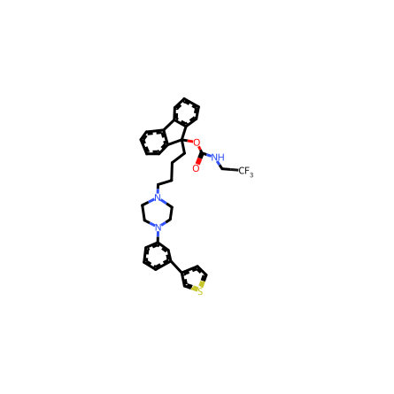 O=C(NCC(F)(F)F)OC1(CCCCN2CCN(c3cccc(-c4ccsc4)c3)CC2)c2ccccc2-c2ccccc21